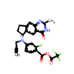 C#CCN(c1ccc(C(=O)OC(=O)C(F)(F)F)c(F)c1)[C@@H]1CCc2cc3nc(C)[nH]c(=O)c3cc21